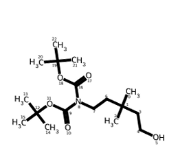 CC(C)(CCO)CCN(C(=O)OC(C)(C)C)C(=O)OC(C)(C)C